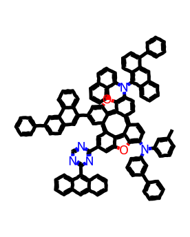 Cc1cccc(N(c2cccc(-c3ccccc3)c2)c2ccc3c4ccc(N(c5cccc6ccccc56)c5c6ccccc6cc6c(-c7ccccc7)cccc56)c5oc6cc(-c7cc8ccc(-c9ccccc9)cc8c8ccccc78)cc(c7cc(-c8ncnc(-c9c%10ccccc%10cc%10ccccc9%10)n8)cc8oc2c3c87)c6c54)c1